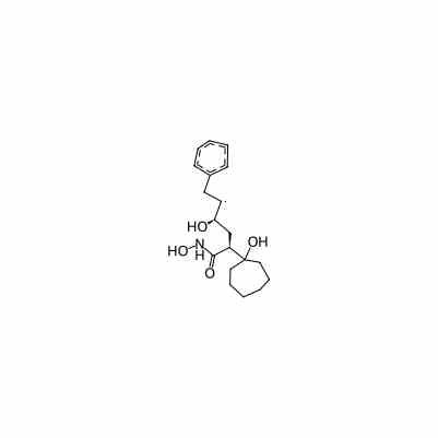 O=C(NO)[C@@H](C[C@@H](O)[CH]Cc1ccccc1)C1(O)CCCCCC1